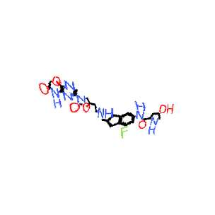 O=C1COc2ncc(N3CC(CCNCC4Cc5cc(NC(=O)C6CC(O)CN6)cc(F)c5C4)OC3=O)nc2N1